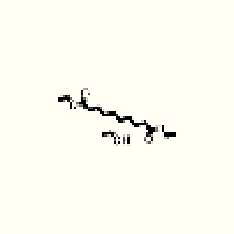 CCO.CCOC(=O)CCCCCCCCC(=O)OCC